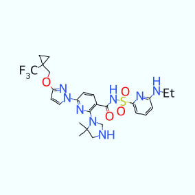 CCNc1cccc(S(=O)(=O)NC(=O)c2ccc(-n3ccc(OCC4(C(F)(F)F)CC4)n3)nc2N2CNCC2(C)C)n1